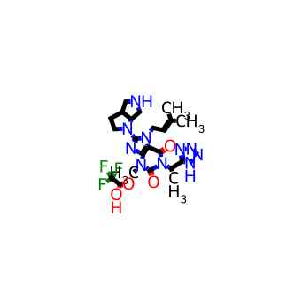 CC(C)=CCn1c(N2CCC3CNCC32)nc2c1c(=O)n(C(C)c1nnn[nH]1)c(=O)n2C.O=C(O)C(F)(F)F